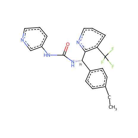 CCc1ccc([C@H](NC(=O)Nc2cccnc2)c2ncccc2C(F)(F)F)cc1